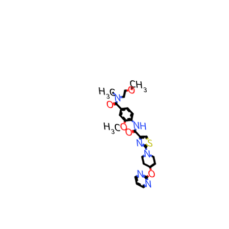 COCCN(C)C(=O)c1ccc(NC(=O)c2csc(N3CCC(Oc4ncccn4)CC3)n2)c(OC)c1